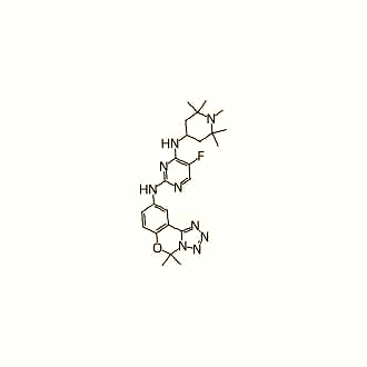 CN1C(C)(C)CC(Nc2nc(Nc3ccc4c(c3)-c3nnnn3C(C)(C)O4)ncc2F)CC1(C)C